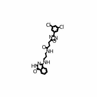 O=C(CCc1nc(-c2cc(Cl)cc(Cl)c2)no1)NCCCNc1n[nH]c(=O)c2ccccc12